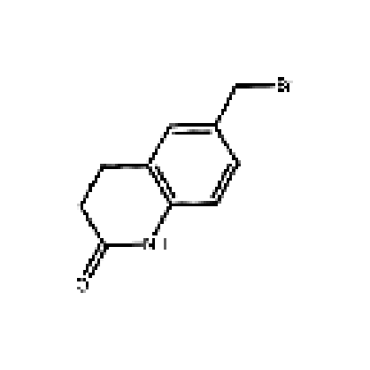 O=C1CCc2cc(CBr)[c]cc2N1